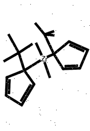 CC(C)(C)[C]1([Zr]([CH3])([CH3])[C]2(C(C)(C)C)C=CC=C2)C=CC=C1